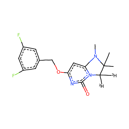 [2H]C1([2H])n2c(cc(OCc3cc(F)cc(F)c3)nc2=O)N(C)C1(C)C